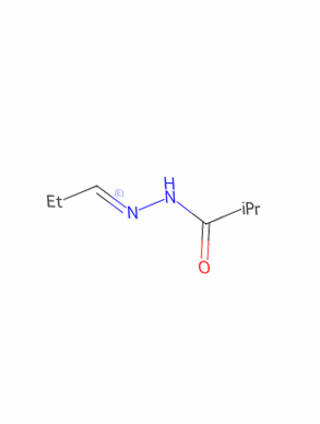 CC/C=N/NC(=O)C(C)C